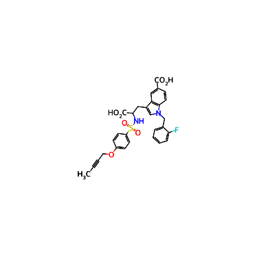 CC#CCOc1ccc(S(=O)(=O)NC(Cc2cn(Cc3ccccc3F)c3ccc(C(=O)O)cc23)C(=O)O)cc1